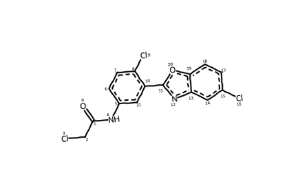 O=C(CCl)Nc1ccc(Cl)c(-c2nc3cc(Cl)ccc3o2)c1